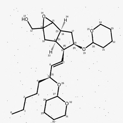 CCCCC[C@@H](C=C[C@H]1[C@H]2CC3(CO)OC3[C@H]2C[C@H]1OC1CCCCO1)OC1CCCCO1